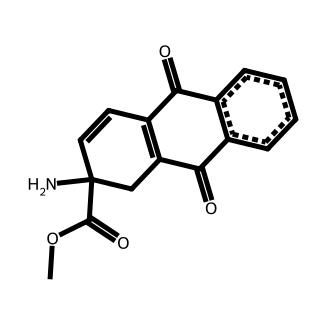 COC(=O)C1(N)C=CC2=C(C1)C(=O)c1ccccc1C2=O